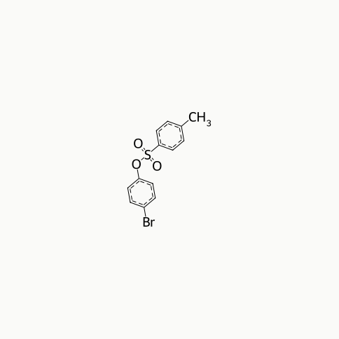 Cc1ccc(S(=O)(=O)Oc2ccc(Br)cc2)cc1